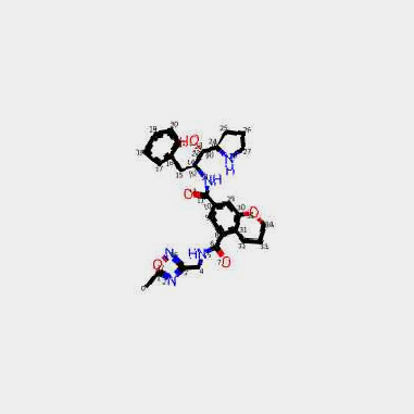 Cc1nc(CNC(=O)c2cc(C(=O)N[C@@H](Cc3ccccc3)[C@H](O)[C@H]3CCCN3)cc3c2CCCO3)no1